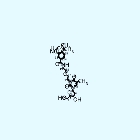 Cc1cn([C@H]2C[C@H](O)[C@@H](CO)O2)c(=O)n(CCOCCNC(=O)c2ccc([N+](C)(C)C)c(C#N)c2)c1=O